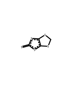 S=c1sc2c(s1)SCS2